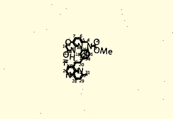 COC(=O)N(Cc1ccc2c(n1)NC(=O)CO2)C12CCC(CCc3c(F)cnc4ccc(C)nc34)(CC1)OC2